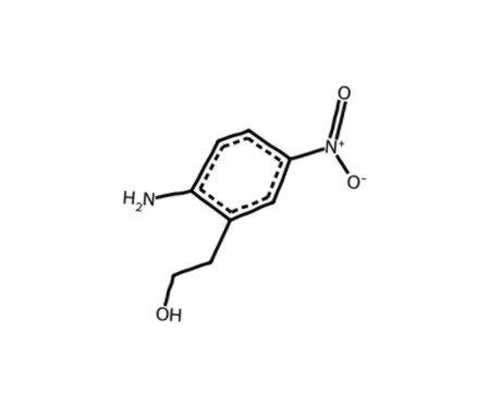 Nc1ccc([N+](=O)[O-])cc1CCO